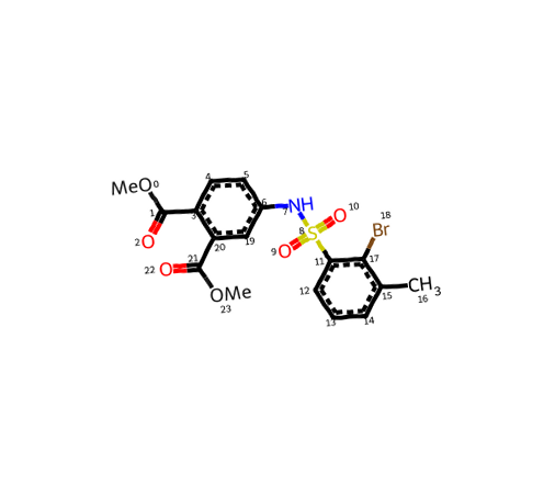 COC(=O)c1ccc(NS(=O)(=O)c2cccc(C)c2Br)cc1C(=O)OC